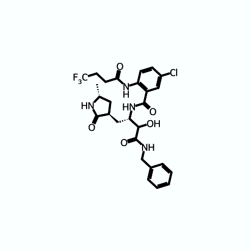 C[C@@H]1C[C@@H](C[C@H](NC(=O)c2cc(Cl)ccc2NC(=O)CCC(F)(F)F)C(O)C(=O)NCc2ccccc2)C(=O)N1